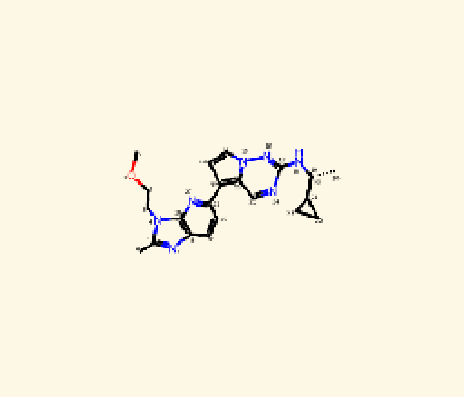 COCCn1c(C)nc2ccc(-c3ccn4nc(N[C@H](C)C5CC5)ncc34)nc21